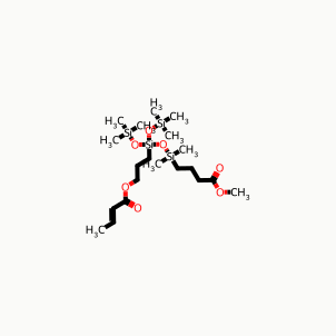 CC=CC(=O)OCCC[Si](O[Si](C)(C)C)(O[Si](C)(C)C)O[Si](C)(C)CCCC(=O)OC